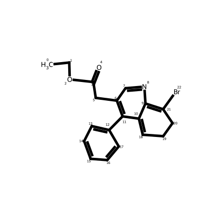 CCOC(=O)Cc1cnc2c(c1-c1ccccc1)=CCCC=2Br